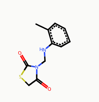 Cc1ccccc1NCN1C(=O)CSC1=O